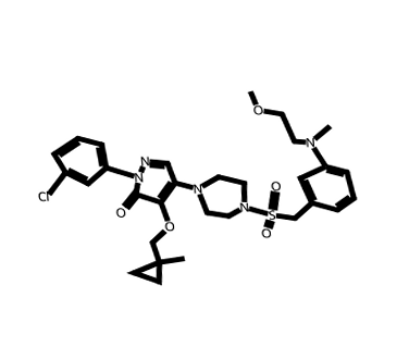 COCCN(C)c1cccc(CS(=O)(=O)N2CCN(c3cnn(-c4cccc(Cl)c4)c(=O)c3OCC3(C)CC3)CC2)c1